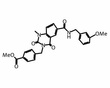 COC(=O)c1ccc(Cn2c(=O)c3cc(C(=O)NCc4cccc(OC)c4)ccc3n(C)c2=O)cc1